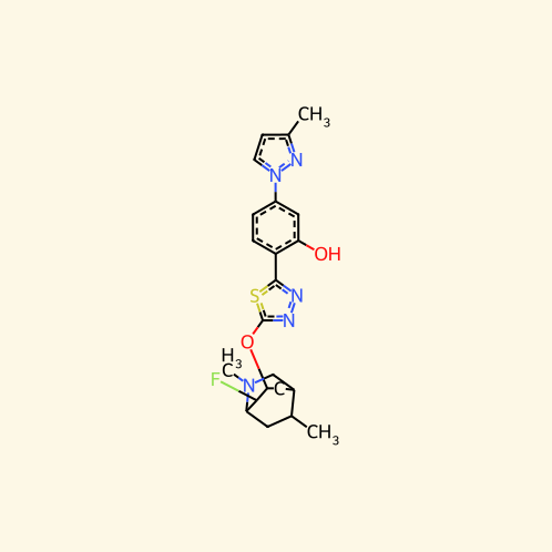 Cc1ccn(-c2ccc(-c3nnc(OC4CC5CN(C)C(CC5C)C4F)s3)c(O)c2)n1